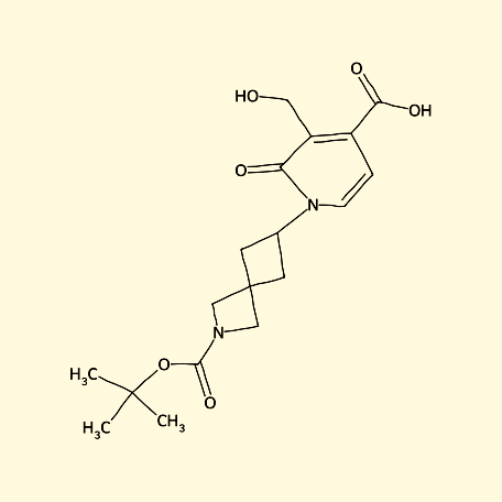 CC(C)(C)OC(=O)N1CC2(CC(n3ccc(C(=O)O)c(CO)c3=O)C2)C1